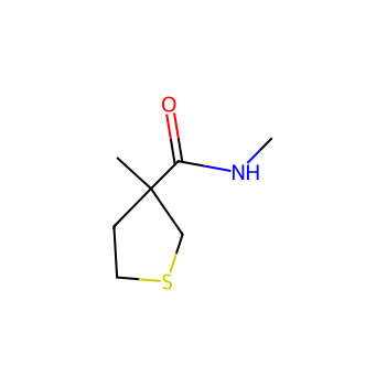 CNC(=O)C1(C)CCSC1